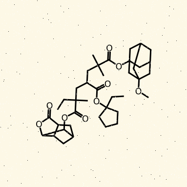 CCC1(OC(=O)C(CC(C)(C)C(=O)OC23CC4CC(CC(OC)(C4)C2)C3)CC(C)(CC)C(=O)OC2C3CC4C(=O)OC2C4C3)CCCC1